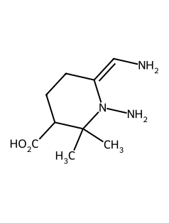 CC1(C)C(C(=O)O)CC/C(=C/N)N1N